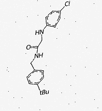 CC(C)(C)c1ccc(CNC(=O)CNc2ccc(Cl)cc2)cc1